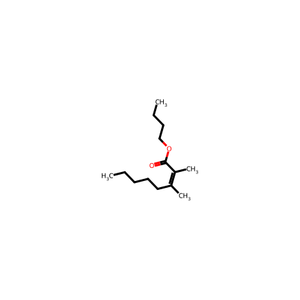 CCCCCC(C)=C(C)C(=O)OCCCC